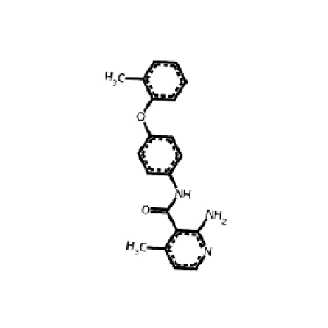 Cc1ccccc1Oc1ccc(NC(=O)c2c(C)ccnc2N)cc1